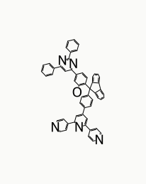 c1ccc(-c2cc(-c3ccc4c(c3)Oc3cc(-c5cc(-c6ccncc6)nc(-c6ccncc6)c5)ccc3C43c4ccccc4-c4ccccc43)nc(-c3ccccc3)n2)cc1